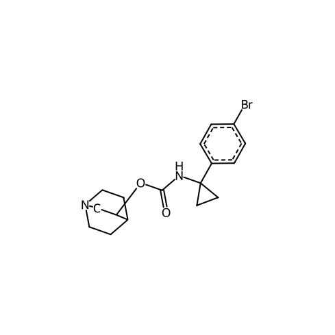 O=C(NC1(c2ccc(Br)cc2)CC1)OC1CN2CCC1CC2